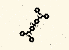 CCC(CC)(c1ccc(-c2cc(-c3ccccc3)nc(-c3ccccc3)n2)cc1)c1ccc(-c2cc(-c3ccccc3)nc(-c3ccccc3)n2)cc1